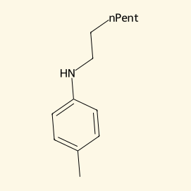 CCCCCCCNc1ccc(C)cc1